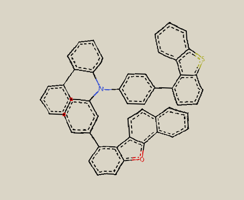 c1ccc(-c2ccccc2N(c2ccc(-c3cccc4sc5ccccc5c34)cc2)c2cccc(-c3cccc4oc5c6ccccc6ccc5c34)c2)cc1